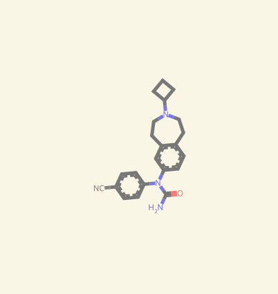 N#Cc1ccc(N(C(N)=O)c2ccc3c(c2)CCN(C2CCC2)CC3)cc1